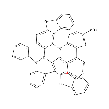 CCCCc1ccc(N2c3cc4c(oc5ccccc54)c4c3B(c3ccc5oc6ccccc6c5c32)N(c2ccccc2)c2ccccc2-4)c(-c2ccccc2)c1